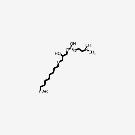 CCCCCCCCCCCCCCCCCCOCC(O)COP(O)OCCN(C)C